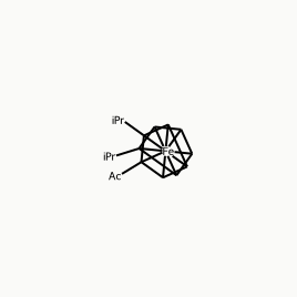 CC(=O)[C]12[CH]3[CH]4[CH]5[C]1(C(C)C)[Fe]43521678[CH]2[CH]1[CH]6[C]7(C(C)C)[CH]28